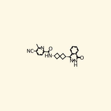 Cc1nc(C(=O)N[C@H]2CC3(C2)C[C@H](c2n[nH]c(=O)c4ccccc42)C3)ccc1C#N